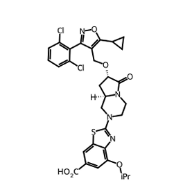 CC(C)Oc1cc(C(=O)O)cc2sc(N3CCN4C(=O)[C@@H](OCc5c(-c6c(Cl)cccc6Cl)noc5C5CC5)C[C@@H]4C3)nc12